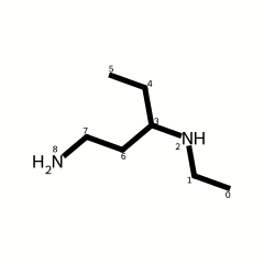 CCNC(CC)CCN